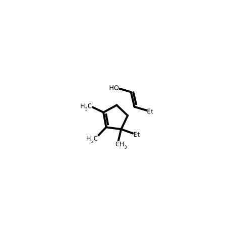 CCC1(C)CCC(C)=C1C.CCC=CO